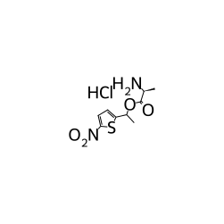 CC(OC(=O)[C@H](C)N)c1ccc([N+](=O)[O-])s1.Cl